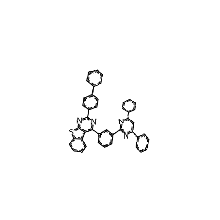 c1ccc(-c2ccc(-c3nc(-c4cccc(-c5nc(-c6ccccc6)cc(-c6ccccc6)n5)c4)c4c(n3)sc3ccccc34)cc2)cc1